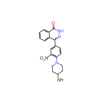 CCCC1CCN(c2ccc(-c3n[nH]c(=O)c4ccccc34)cc2[N+](=O)[O-])CC1